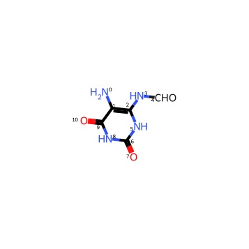 Nc1c(NC=O)[nH]c(=O)[nH]c1=O